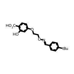 CC(C)(C)c1ccc(C=NOCCOc2ccc(C(=O)O)c(O)c2)cc1